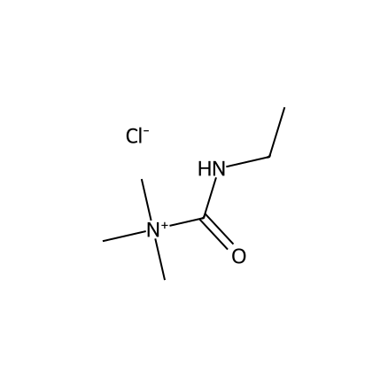 CCNC(=O)[N+](C)(C)C.[Cl-]